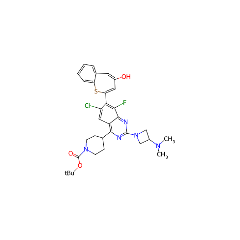 CN(C)C1CN(c2nc(C3CCN(C(=O)OC(C)(C)C)CC3)c3cc(Cl)c(C4=CC(O)=Cc5ccccc5S4)c(F)c3n2)C1